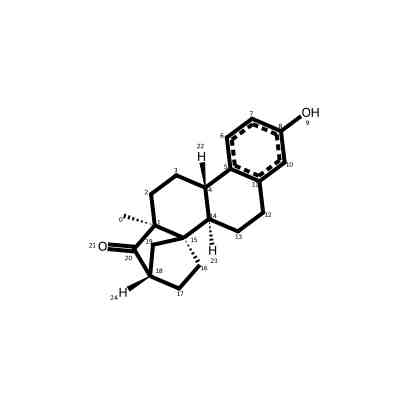 C[C@]12CC[C@@H]3c4ccc(O)cc4CC[C@H]3[C@]13CC[C@@H](C3)C2=O